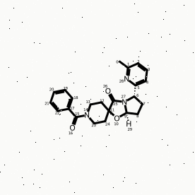 Cc1cccc([C@@H]2CC[C@H]3OC4(CCN(C(=O)c5ccccc5)CC4)C(=O)N32)n1